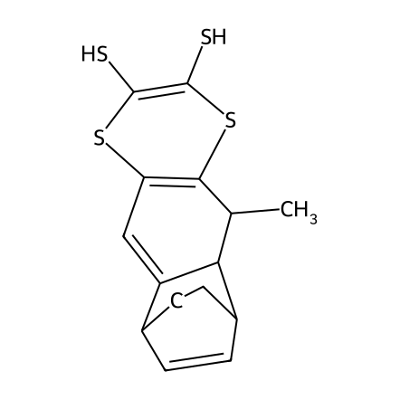 CC1C2=C(C=C3C4C=CC(CC4)C31)SC(S)=C(S)S2